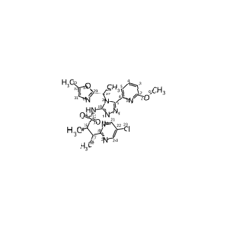 COc1cccc(-c2nnc(NS(=O)(=O)C(C)C(C)c3ncc(Cl)cn3)n2C(C)c2ncc(C)o2)n1